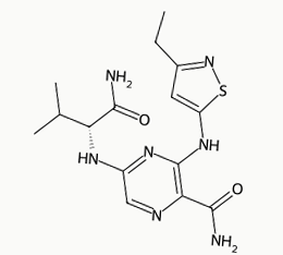 CCc1cc(Nc2nc(N[C@@H](C(N)=O)C(C)C)cnc2C(N)=O)sn1